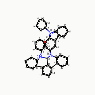 c1ccc(N2c3ccccc3-c3cccc4c3C2N(c2ccc3c(c2)c2ccccc2n3-c2ccccc2)c2ccccc2-4)cc1